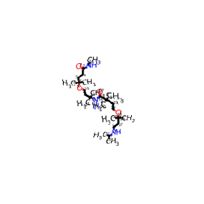 CNC(=O)CCC(C)(C)OCCC(C)(C)NC(=O)C(C)(C)CCOC(C)(C)CCNC(C)C